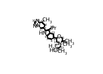 Cc1cc(-c2[nH]c3ccc(C4CN(CC(C)(C)O)C(C)(C)CO4)cc3c2C(C)C)cn2ncnc12